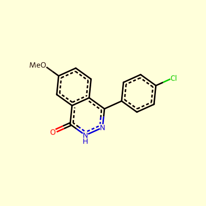 COc1ccc2c(-c3ccc(Cl)cc3)n[nH]c(=O)c2c1